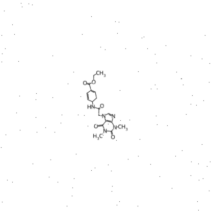 CCOC(=O)C1=CCC(NC(=O)Cn2cnc3c2c(=O)n(C)c(=O)n3C)C=C1